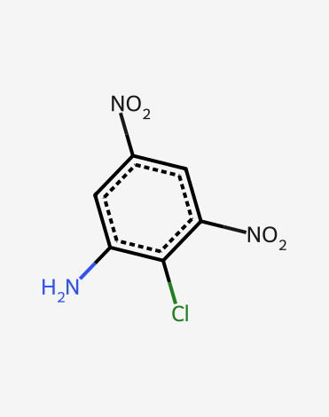 Nc1cc([N+](=O)[O-])cc([N+](=O)[O-])c1Cl